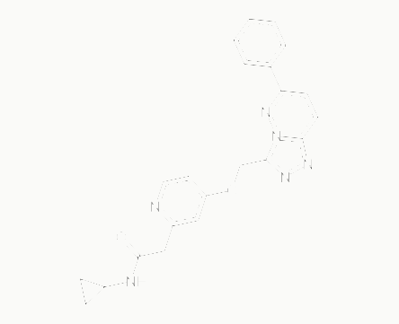 O=C(Cc1cc(OCc2nnc3ccc(-c4ccccc4)nn23)ccn1)NC1CC1